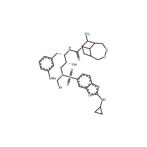 COc1cccc(C[C@H](NC(=O)OC2C3CCC(C)C2COOC3)[C@H](O)CN(CC(C)C)S(=O)(=O)c2ccc3nc(NC4CC4)oc3c2)c1